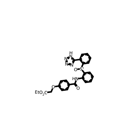 CCOC(=O)COc1ccc(C(=O)Nc2ccccc2[S+]([O-])c2ccccc2-c2nnn[nH]2)cc1